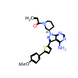 C=CC(=O)N1CCC[C@@H](n2nc(-c3ccc(-c4ccc(OC)cc4)s3)c3c(N)ncnc32)C1